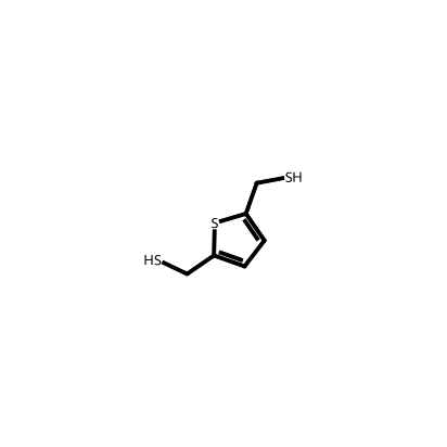 SCc1ccc(CS)s1